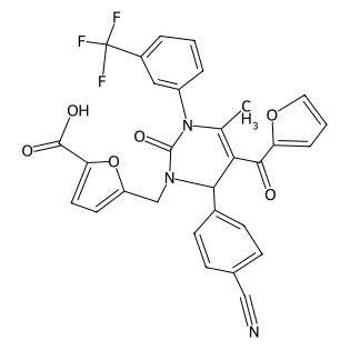 CC1=C(C(=O)c2ccco2)C(c2ccc(C#N)cc2)N(Cc2ccc(C(=O)O)o2)C(=O)N1c1cccc(C(F)(F)F)c1